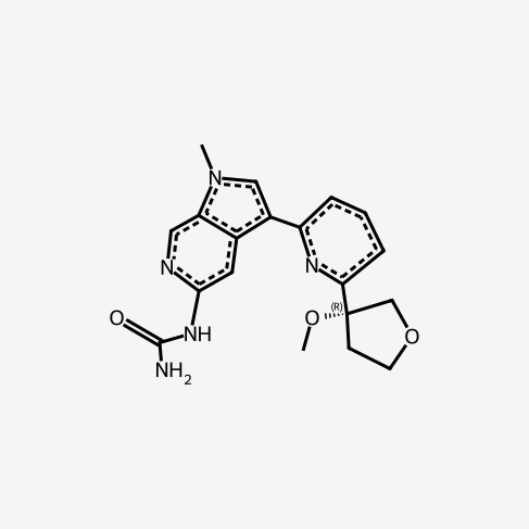 CO[C@@]1(c2cccc(-c3cn(C)c4cnc(NC(N)=O)cc34)n2)CCOC1